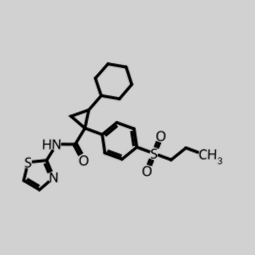 CCCS(=O)(=O)c1ccc(C2(C(=O)Nc3nccs3)CC2C2CCCCC2)cc1